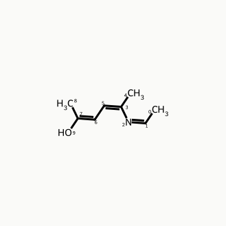 C\C=N/C(C)=C\C=C(/C)O